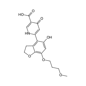 COCCCOc1cc(O)c(-c2cc(=O)c(C(=O)O)c[nH]2)c2c1OCC2